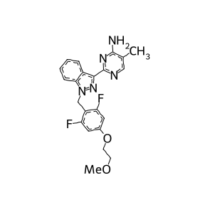 COCCOc1cc(F)c(Cn2nc(-c3ncc(C)c(N)n3)c3ccccc32)c(F)c1